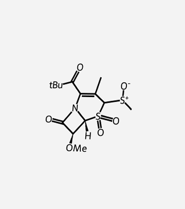 CO[C@H]1C(=O)N2C(C(=O)C(C)(C)C)=C(C)C([S+](C)[O-])S(=O)(=O)[C@H]12